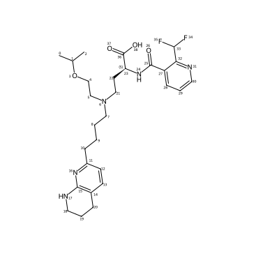 CC(C)OCCN(CCCCc1ccc2c(n1)NCCC2)CC[C@H](NC(=O)c1cccnc1C(F)F)C(=O)O